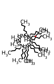 CCCCCN1[SiH2]N[SiH2]N[SiH](CCCCC)N(CCCCC)[Si](CCCCC)(CCCCC)N(CCCCC)[Si](CCCCC)(CCCCC)N(CCCCC)[Si]1(CCCCC)CCCCC